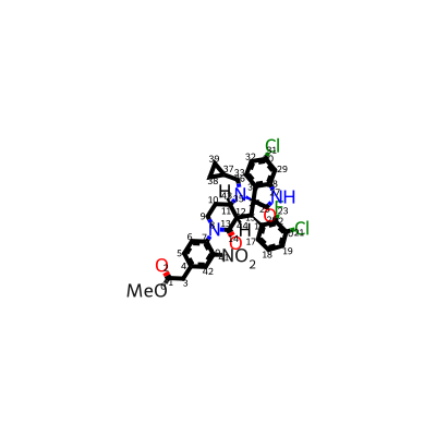 COC(=O)Cc1ccc(N2CC[C@H]3[C@@H](C2=O)[C@H](c2cccc(Cl)c2F)[C@]2(C(=O)Nc4cc(Cl)ccc42)N3CC2CC2)c([N+](=O)[O-])c1